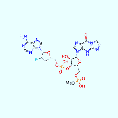 COP(=O)(O)OC[C@H]1O[C@@H](n2cnc3c(=O)n4ccnc4[nH]c32)[C@H](O)[C@@H]1OP(=O)(O)OC[C@@H]1C[C@@H](F)[C@H](n2cnc3c(N)ncnc32)O1